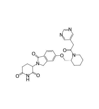 O=C1CCC(N2Cc3cc(OC[C@H]4CCCCN4C(=O)Cc4cncnc4)ccc3C2=O)C(=O)N1